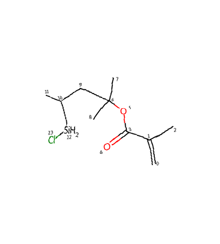 C=C(C)C(=O)OC(C)(C)CC(C)[SiH2]Cl